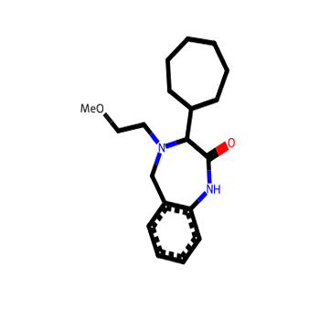 COCCN1Cc2ccccc2NC(=O)C1C1CCCCCC1